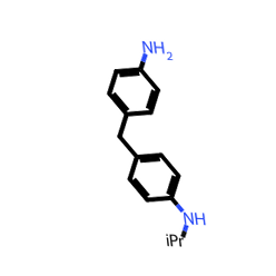 CC(C)Nc1ccc(Cc2ccc(N)cc2)cc1